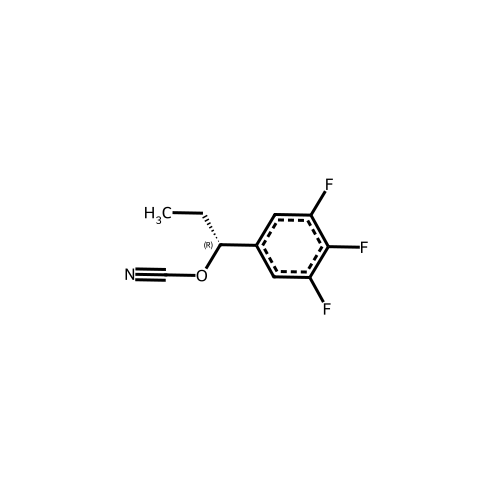 CC[C@@H](OC#N)c1cc(F)c(F)c(F)c1